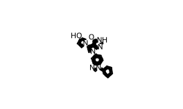 O=c1[nH]cnc2c1c(N1CCC(O)C1)cn2-c1ccc2c(c1)ncn2C1CCCCC1